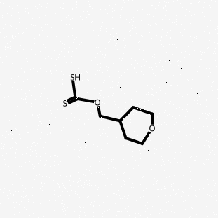 S=C(S)OCC1CCOCC1